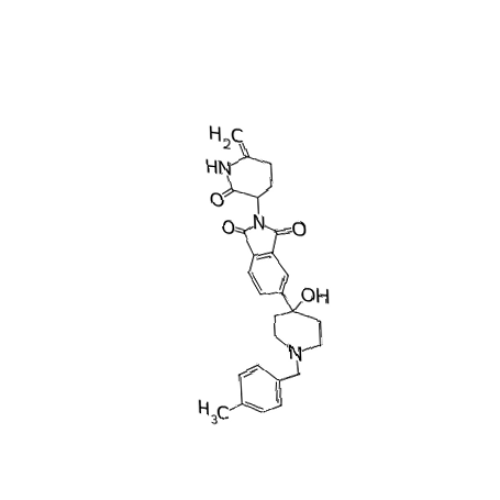 C=C1CCC(N2C(=O)c3ccc(C4(O)CCN(Cc5ccc(C)cc5)CC4)cc3C2=O)C(=O)N1